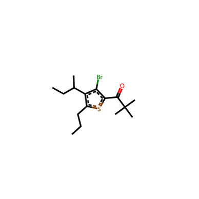 CCCc1sc(C(=O)C(C)(C)C)c(Br)c1C(C)CC